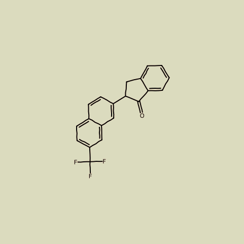 O=C1c2ccccc2CC1c1ccc2ccc(C(F)(F)F)cc2c1